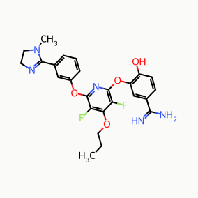 CCCOc1c(F)c(Oc2cccc(C3=NCCN3C)c2)nc(Oc2cc(C(=N)N)ccc2O)c1F